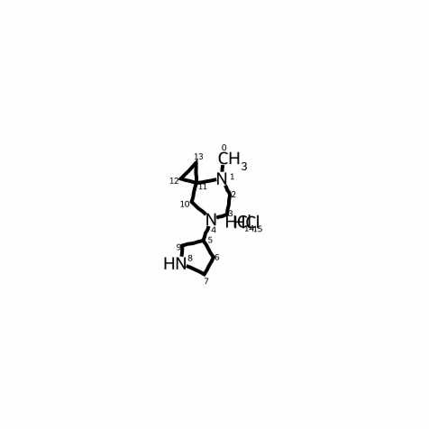 CN1CCN(C2CCNC2)CC12CC2.Cl.Cl